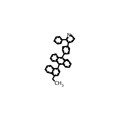 CCc1ccc(-c2c3ccccc3c(-c3ccc(-c4cccnc4-c4ccccc4)cc3)c3ccccc23)c2ccccc12